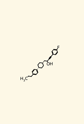 CCCc1ccc([C@H]2CC[C@H](CC(O)C#Cc3ccc(F)cc3)CC2)cc1